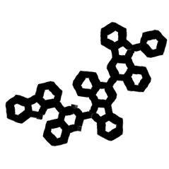 c1ccc(-n2c3ccccc3c3cc(-c4cc5c6ccccc6n(-c6nc(-c7cccc8c7sc7ccccc78)c7ccccc7n6)c5c5ccccc45)c4ccccc4c32)cc1